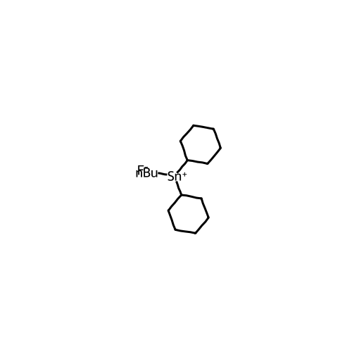 CCC[CH2][Sn+]([CH]1CCCCC1)[CH]1CCCCC1.[F-]